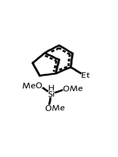 CCc1ccc2cc1CC2.CO[SiH](OC)OC